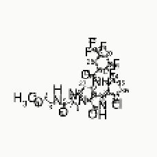 COCCNC(=O)c1cn2c3c(c(NC(=O)c4cc(F)cc(C(F)(F)F)c4)cc2n1)C(c1cc(F)ccc1Cl)NC3=O